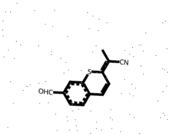 C/C(C#N)=C1/C=Cc2ccc(C=O)cc2S1